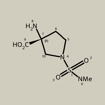 CNS(=O)(=O)N1CC[C@](N)(C(=O)O)C1